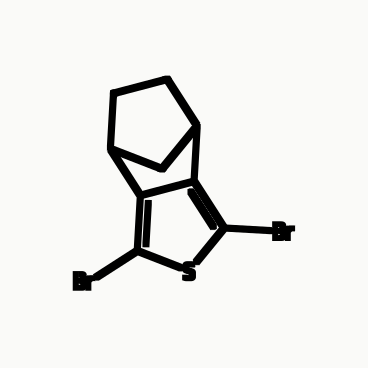 Brc1sc(Br)c2c1C1CCC2C1